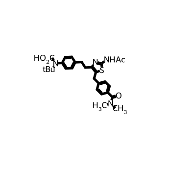 CC(=O)Nc1nc(CCc2ccc(N(C(=O)O)C(C)(C)C)cc2)c(Cc2ccc(C(=O)N(C)C)cc2)s1